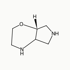 C1CO[C@@H]2CNCC2N1